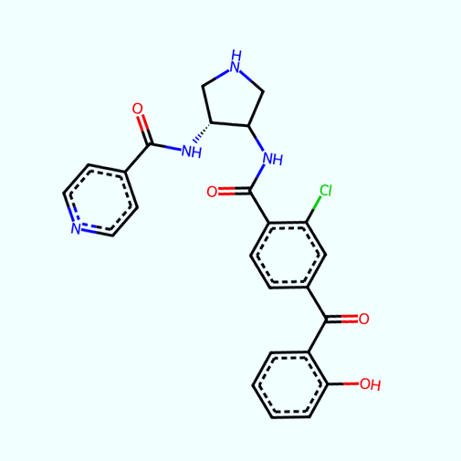 O=C(N[C@@H]1CNCC1NC(=O)c1ccc(C(=O)c2ccccc2O)cc1Cl)c1ccncc1